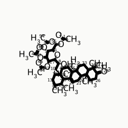 CC(=O)OCC1O[C@@H]([C@H](O)C[C@]23CC[C@@H](C)[C@H](C)C2C2=CCC4[C@@]5(C)CCC(=O)C(C)(C)C5CC[C@@]4(C)[C@]2(C)CC3)C(OC(C)=O)C(OC(C)=O)[C@@H]1OC(C)=O